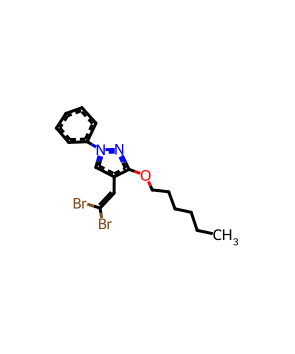 CCCCCCOc1nn(-c2ccccc2)cc1C=C(Br)Br